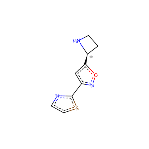 c1csc(-c2cc([C@@H]3CCN3)on2)n1